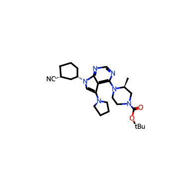 C[C@H]1CN(C(=O)OC(C)(C)C)CCN1c1ncnc2c1c(N1CCCC1)cn2[C@H]1CCC[C@@H](C#N)C1